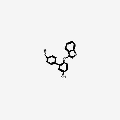 COc1ccc(-c2cc(O)ccc2Oc2csc3ccccc23)cc1